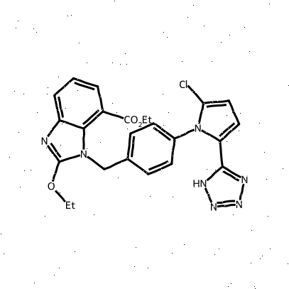 CCOC(=O)c1cccc2nc(OCC)n(Cc3ccc(-n4c(Cl)ccc4-c4nnn[nH]4)cc3)c12